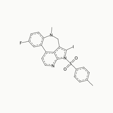 Cc1ccc(S(=O)(=O)n2c(I)c3c4c(ccnc42)-c2cc(F)ccc2N(C)C3)cc1